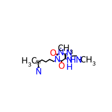 CNCc1nc2c([nH]1)c(=O)n(CCCC[C@@H](C)C#N)c(=O)n2C